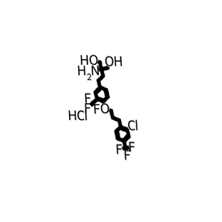 Cl.NC(CO)(CO)CCc1ccc(OCCCc2ccc(C(F)(F)F)cc2Cl)c(C(F)(F)F)c1